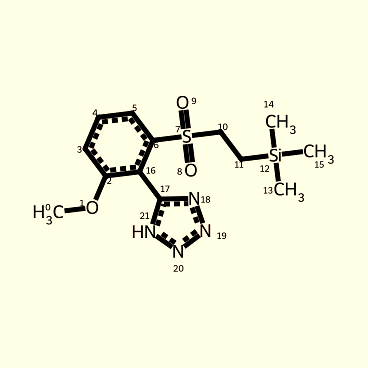 COc1cccc(S(=O)(=O)CC[Si](C)(C)C)c1-c1nnn[nH]1